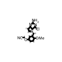 COc1ccc(OCC#N)cc1Cn1ccc2nc(N)nc(Cl)c21